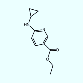 CCOC(=O)c1ccc(NC2CC2)nc1